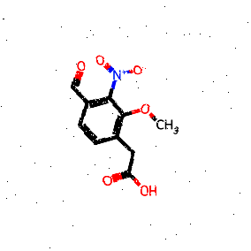 COc1c(CC(=O)O)ccc(C=O)c1[N+](=O)[O-]